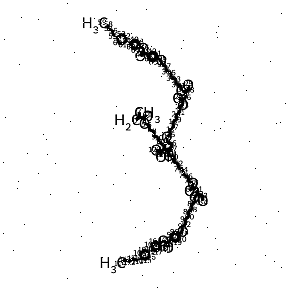 C=C(C)C(=O)OCCCCCCc1c(OCCCCCCCCOC(=O)CC(C=O)OCCCCCCCCOc2ccc(C(=O)Oc3ccc([C@H]4CC[C@H](CCCCC)CC4)cc3)cc2)ccc(OCCCCCCCCOC(=O)CC(C=O)OCCCCCCCCOc2ccc(C(=O)Oc3ccc([C@H]4CC[C@H](CCCCC)CC4)cc3)cc2)c1C(=O)O